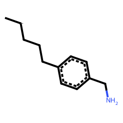 C[CH]CCCc1ccc(CN)cc1